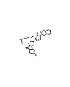 COc1ccc2[nH]c(C)c(CC(=O)N[C@@H](CCCCCC(C)=O)C(=O)Nc3cc4ccccc4cn3)c2c1